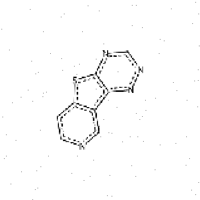 c1cc2sc3ncnnc3c2cn1